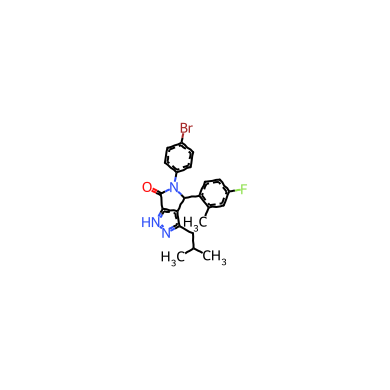 Cc1cc(F)ccc1C1c2c(CC(C)C)n[nH]c2C(=O)N1c1ccc(Br)cc1